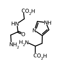 NC(Cc1c[nH]cn1)C(=O)O.NCC(=O)NCC(=O)O